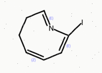 IC1=C/C=C\CC\C=N\1